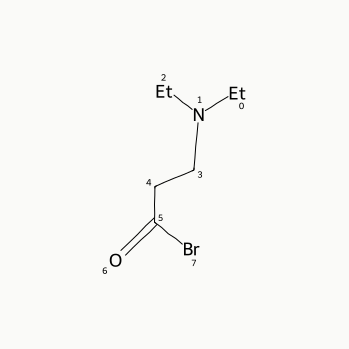 CCN(CC)CCC(=O)Br